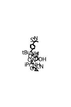 Cc1ncsc1-c1ccc(C(NC(=O)[C@@H]2[C@@H](F)[C@@H](O)CN2C(=O)[C@@H](NC(=O)C2(C#N)CC2)C(C)C)C(C)(C)C)cc1